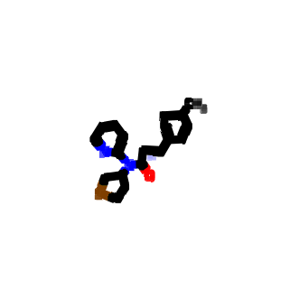 Cc1ccc(/C=C/C(=O)N(c2ccccn2)C2CCSC2)cc1